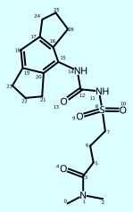 CN(C)C(=O)CCCS(=O)(=O)NC(=O)Nc1c2c(cc3c1CCC3)CCC2